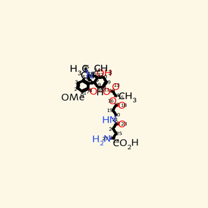 COc1ccc(C)c2c1O[C@H]1C(OC(=O)[C@H](C)OC(=O)CCNC(=O)CC[C@H](N)C(=O)O)=CC[C@@]3(O)[C@@H](C)N(C)CC[C@]213